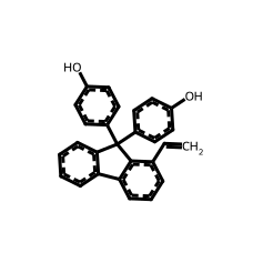 C=Cc1cccc2c1C(c1ccc(O)cc1)(c1ccc(O)cc1)c1ccccc1-2